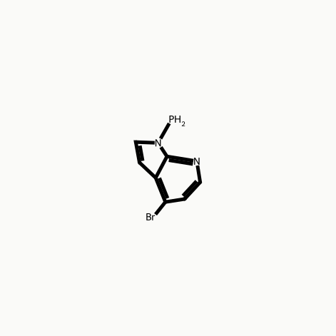 Pn1ccc2c(Br)ccnc21